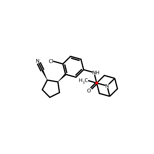 CC1CC2CC(C1)N2C(=O)Nc1ccc(Cl)c([C@H]2CCC[C@H]2C#N)c1